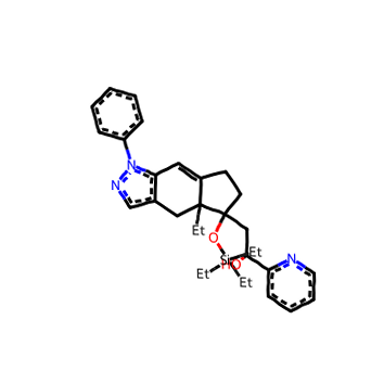 CCC12Cc3cnn(-c4ccccc4)c3C=C1CCC2(CC(O)c1ccccn1)O[Si](CC)(CC)CC